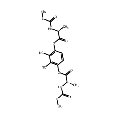 C[C@H](NC(=O)OC(C)(C)C)C(=O)Oc1ccc(OC(=O)[C@H](C)NC(=O)OC(C)(C)C)c(C#N)c1C#N